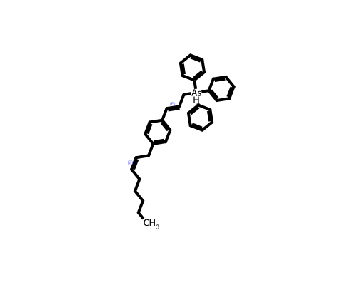 CCCCC/C=C\Cc1ccc(/C=C/C[AsH](c2ccccc2)(c2ccccc2)c2ccccc2)cc1